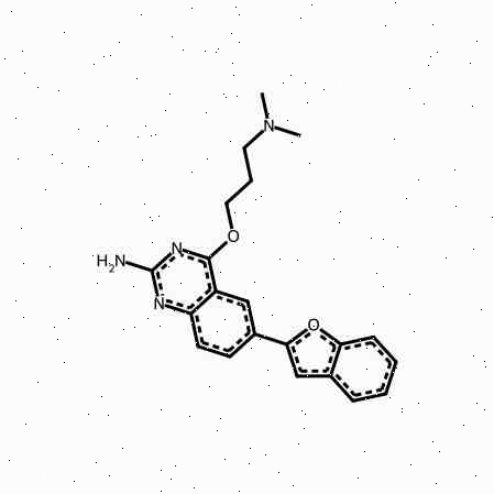 CN(C)CCCOc1nc(N)nc2ccc(-c3cc4ccccc4o3)cc12